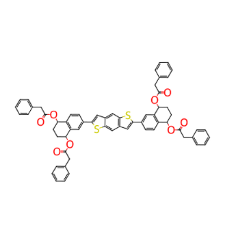 O=C(Cc1ccccc1)OC1CCC(OC(=O)Cc2ccccc2)c2cc(-c3cc4cc5sc(-c6ccc7c(c6)C(OC(=O)Cc6ccccc6)CCC7OC(=O)Cc6ccccc6)cc5cc4s3)ccc21